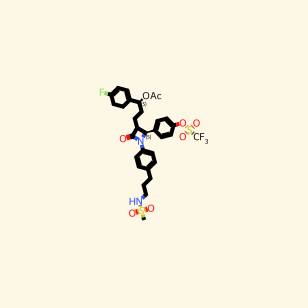 CC(=O)O[C@@H](CCC1C(=O)N(c2ccc(CCCNS(C)(=O)=O)cc2)[C@@H]1c1ccc(OS(=O)(=O)C(F)(F)F)cc1)C1=CC=C(F)CC1